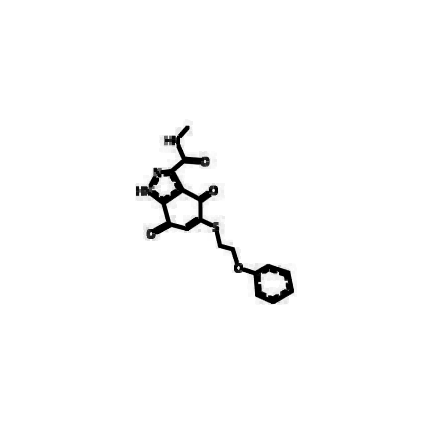 CNC(=O)c1n[nH]c2c1C(=O)C(SCCOc1ccccc1)=CC2=O